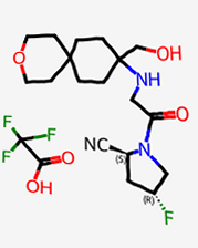 N#C[C@@H]1C[C@@H](F)CN1C(=O)CNC1(CO)CCC2(CCOCC2)CC1.O=C(O)C(F)(F)F